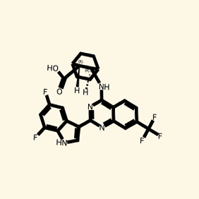 O=C(O)[C@@H]1C2CCC(CC2)[C@H]1Nc1nc(-c2c[nH]c3c(F)cc(F)cc23)nc2cc(C(F)(F)F)ccc12